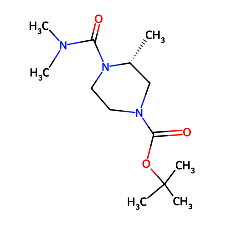 C[C@@H]1CN(C(=O)OC(C)(C)C)CCN1C(=O)N(C)C